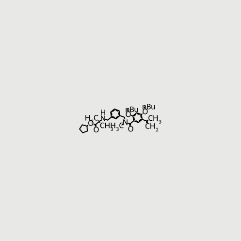 C=C(C)c1cc(C(=O)N(C)Cc2cccc(CNC(C)(C)C(=O)OC3CCCC3)c2)c(OCCCC)cc1OCCCC